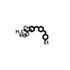 C=C(C)C(OO)C1CCC(CC2CCC(CC3CCC(CC)CC3)CC2)CC1